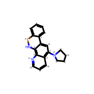 c1ccc2c(c1)SNc1c-2cc(N2CCCC2)c2cccnc12